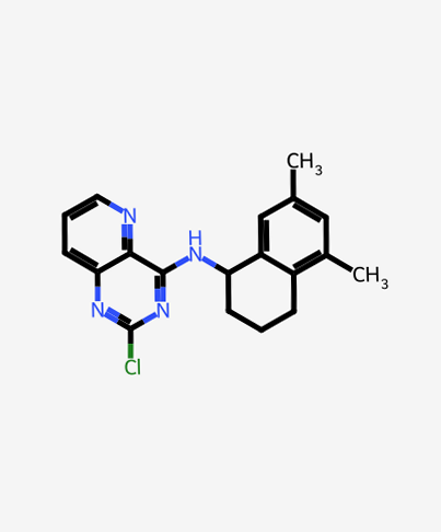 Cc1cc(C)c2c(c1)C(Nc1nc(Cl)nc3cccnc13)CCC2